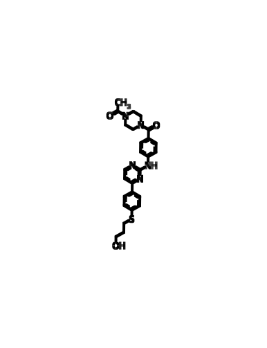 CC(=O)N1CCN(C(=O)c2ccc(Nc3nccc(-c4ccc(SCCCO)cc4)n3)cc2)CC1